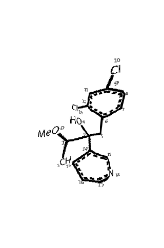 COC(C)C(O)(Cc1ccc(Cl)cc1Cl)c1cccnc1